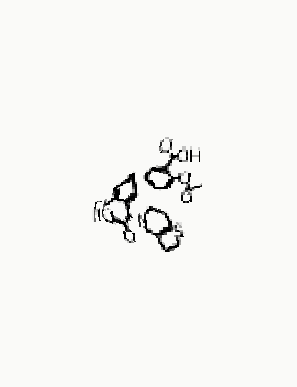 CC(=O)Oc1ccccc1C(=O)O.O=C(O)[C@H](c1ccccc1Cl)N1CCc2sccc2C1